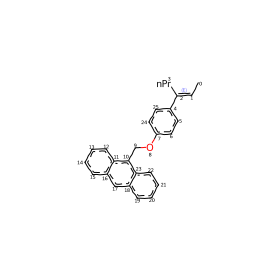 C/C=C(\CCC)c1ccc(OCc2c3ccccc3cc3ccccc23)cc1